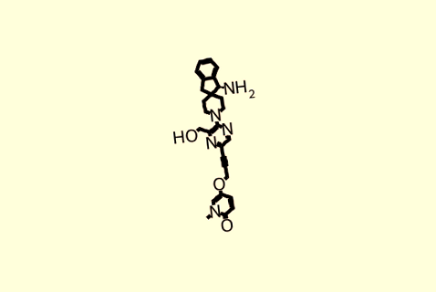 Cn1cc(OCC#Cc2cnc(N3CCC4(CC3)Cc3ccccc3[C@H]4N)c(CO)n2)ccc1=O